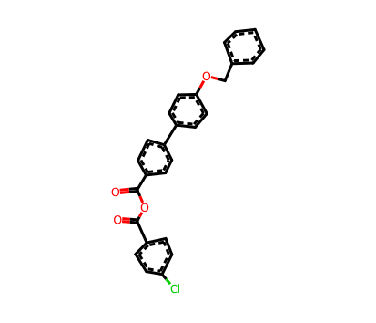 O=C(OC(=O)c1ccc(-c2ccc(OCc3ccccc3)cc2)cc1)c1ccc(Cl)cc1